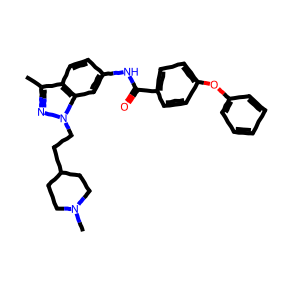 Cc1nn(CCC2CCN(C)CC2)c2cc(NC(=O)c3ccc(Oc4ccccc4)cc3)ccc12